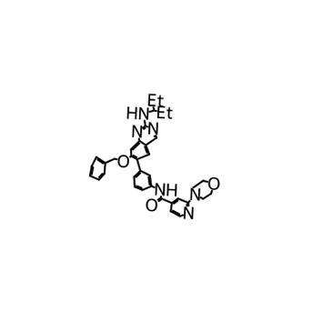 CCC(CC)Nc1ncc2cc(-c3cccc(NC(=O)c4ccnc(N5CCOCC5)c4)c3)c(OCc3ccccc3)cc2n1